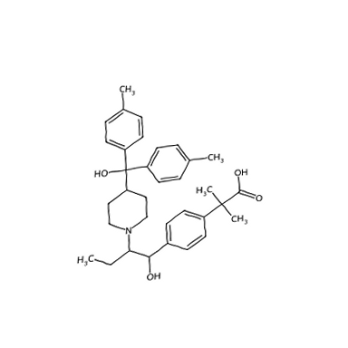 CCC(C(O)c1ccc(C(C)(C)C(=O)O)cc1)N1CCC(C(O)(c2ccc(C)cc2)c2ccc(C)cc2)CC1